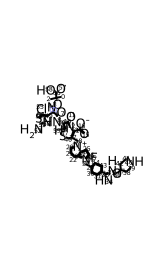 CC(C)(O/N=C(\C(=O)N[C@@H]1C(=O)N2C(C(=O)[O-])=C(C[n+]3cccc4c3ccn4Cc3ccc(C(=N)NOC4CCNCC4)cc3F)CS[C@H]12)c1nc(N)sc1Cl)C(=O)O